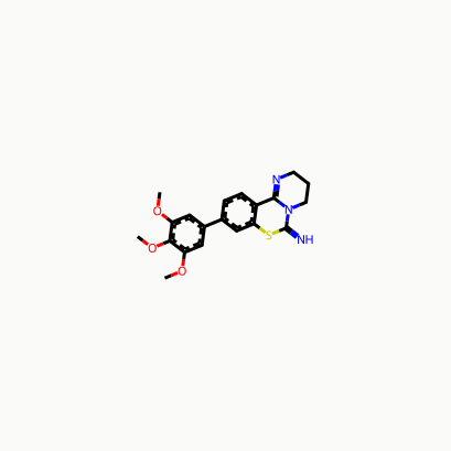 COc1cc(-c2ccc3c(c2)SC(=N)N2CCCN=C32)cc(OC)c1OC